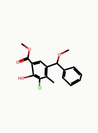 COC(=O)c1cc(C(OC)c2ccccc2)c(C)c(Cl)c1O